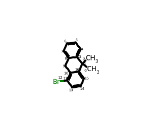 CC1(C)c2ccccc2Cc2c(Br)cccc21